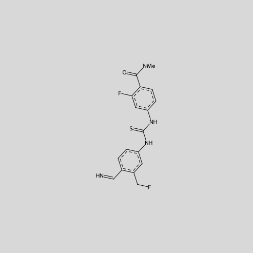 CNC(=O)c1ccc(NC(=S)Nc2ccc(C=N)c(CF)c2)cc1F